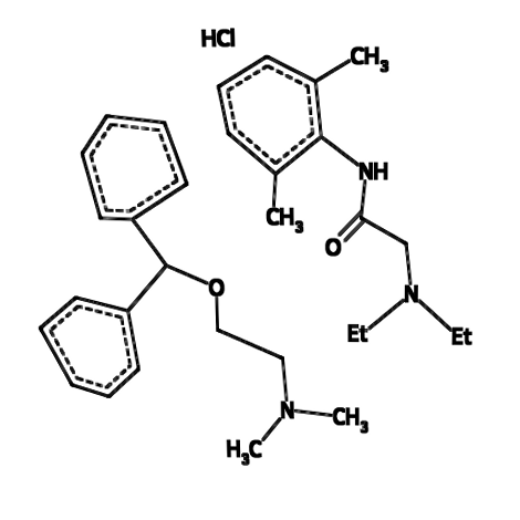 CCN(CC)CC(=O)Nc1c(C)cccc1C.CN(C)CCOC(c1ccccc1)c1ccccc1.Cl